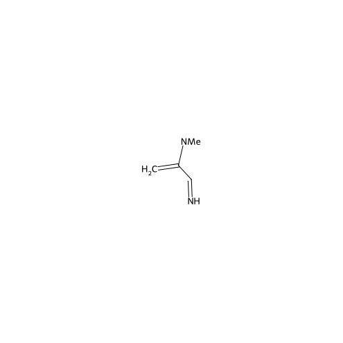 C=C(C=N)NC